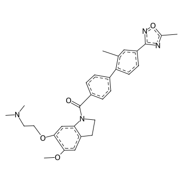 COc1cc2c(cc1OCCN(C)C)N(C(=O)c1ccc(-c3ccc(-c4noc(C)n4)cc3C)cc1)CC2